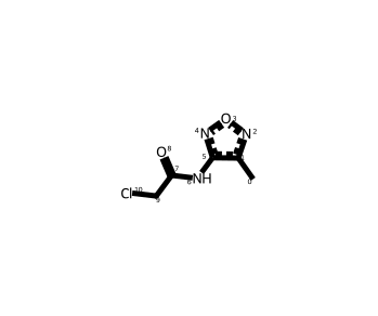 Cc1nonc1NC(=O)CCl